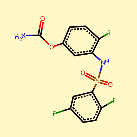 NC(=O)Oc1ccc(F)c(NS(=O)(=O)c2cc(F)ccc2F)c1